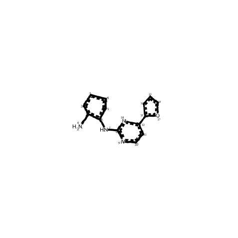 Nc1ccccc1Nc1nccc(-c2ccco2)n1